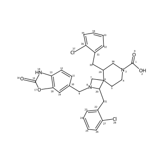 O=C(O)N1CCC2(CN(Cc3ccc4[nH]c(=O)oc4c3)C2Cc2ccccc2Cl)C(Cc2ccccc2Cl)C1